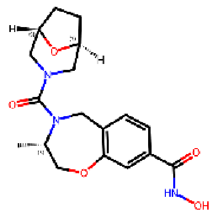 C[C@H]1COc2cc(C(=O)NO)ccc2CN1C(=O)N1C[C@@H]2CC[C@@H](C1)O2